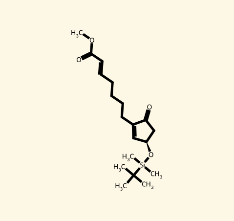 COC(=O)C=CCCCCC1=C[C@H](O[Si](C)(C)C(C)(C)C)CC1=O